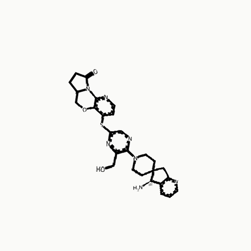 N[C@@H]1c2cccnc2CC12CCN(c1ncc(Sc3ccnc4c3OCC3CCC(=O)N43)nc1CO)CC2